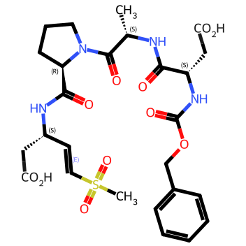 C[C@H](NC(=O)[C@H](CC(=O)O)NC(=O)OCc1ccccc1)C(=O)N1CCC[C@@H]1C(=O)N[C@H](/C=C/S(C)(=O)=O)CC(=O)O